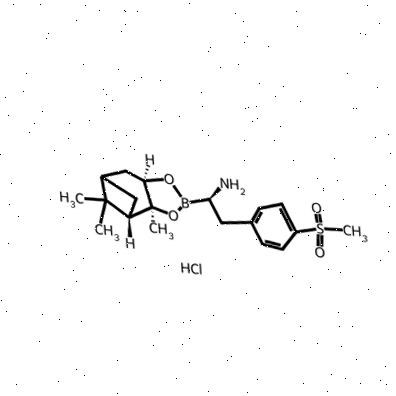 CC1(C)C2C[C@H]3OB([C@@H](N)Cc4ccc(S(C)(=O)=O)cc4)O[C@@]3(C)[C@H]1C2.Cl